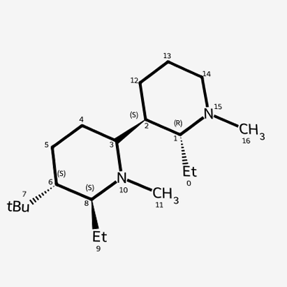 CC[C@@H]1[C@@H](C2CC[C@@H](C(C)(C)C)[C@H](CC)N2C)CCCN1C